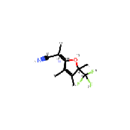 CC1=C(C)C(C)(C(F)(F)F)O/C1=C(\C)C#N